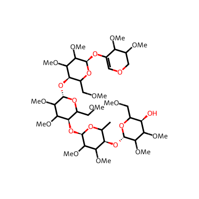 COCC1O[C@@H](O[C@@H]2C(C)O[C@H](O[C@@H]3C(COC)O[C@@H](O[C@@H]4C(COC)O[C@H](OC5=COCC(OC)C5OC)C(OC)C4OC)C(OC)C3OC)C(OC)C2OC)C(OC)C(OC)[C@@H]1O